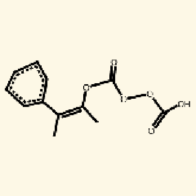 CC(OC(=O)OOC(=O)O)=C(C)c1ccccc1